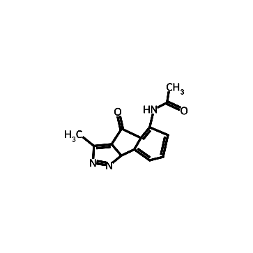 CC(=O)Nc1cccc2c1C(=O)C1=C(C)N=NC12